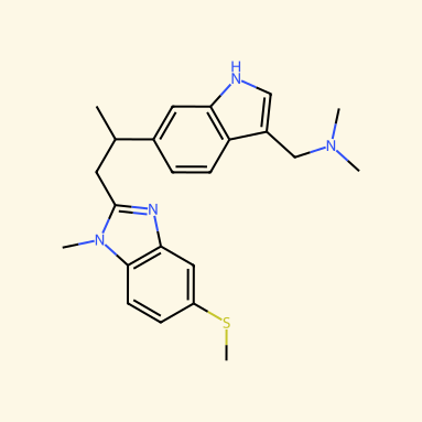 CSc1ccc2c(c1)nc(CC(C)c1ccc3c(CN(C)C)c[nH]c3c1)n2C